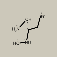 CC(C)CCNO.NO